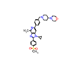 Cc1nc(-c2ccc(CN3CCC(N4CCOCC4)CC3)cc2)cc2c1nc(-c1ccc(S(C)(=O)=O)cc1)n2C1CC1